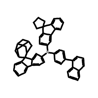 c1ccc2c(c1)-c1cc(N(c3ccc(-c4cccc5ccccc45)cc3)c3ccc4c(c3)C3(c5ccccc5-4)C4CC5CC(C4)CC3C5)ccc1C21CCCC1